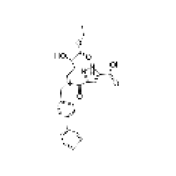 CCOC(=O)C(O)CCN(Cc1ccc(-c2ccccc2)cc1)C(=O)c1cc(C(=O)O)[nH]n1